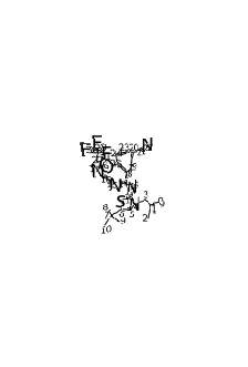 CC(C)Cn1cc(C(C)(C)C)s/c1=N\C(=N\C#N)c1cc(C#N)ccc1OCC(F)(F)F